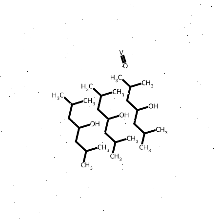 CC(C)CC(O)CC(C)C.CC(C)CC(O)CC(C)C.CC(C)CC(O)CC(C)C.[O]=[V]